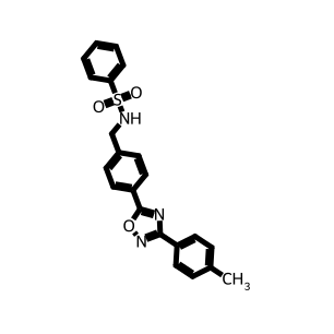 Cc1ccc(-c2noc(-c3ccc(CNS(=O)(=O)c4ccccc4)cc3)n2)cc1